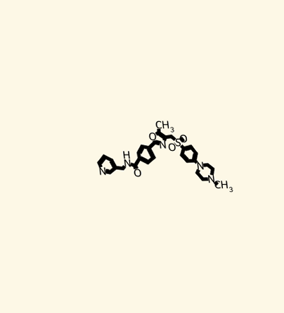 Cc1oc(-c2ccc(C(=O)NCc3cccnc3)cc2)nc1CS(=O)(=O)c1ccc(N2CCN(C)CC2)cc1